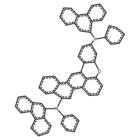 c1ccc(N(c2ccc3c(c2)Oc2cccc4c2c-3cc2c3ccccc3c(N(c3ccccc3)c3cc5ccccc5c5ccccc35)cc42)c2cc3ccccc3c3ccccc23)cc1